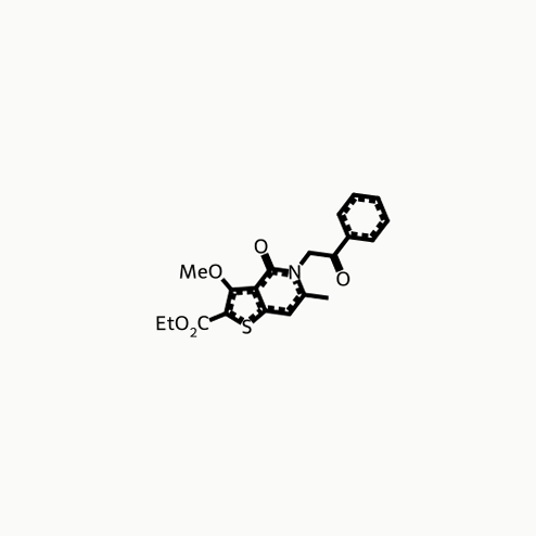 CCOC(=O)c1sc2cc(C)n(CC(=O)c3ccccc3)c(=O)c2c1OC